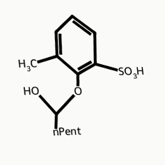 CCCCCC(O)Oc1c(C)cccc1S(=O)(=O)O